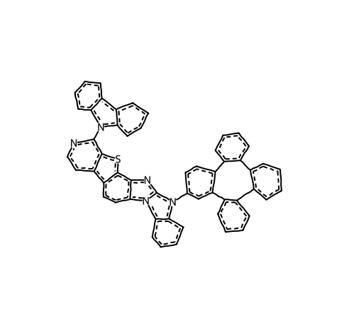 c1ccc2c(c1)-c1ccccc1-c1ccc(-n3c4ccccc4n4c5ccc6c7ccnc(-n8c9ccccc9c9ccccc98)c7sc6c5nc34)cc1-c1ccccc1-2